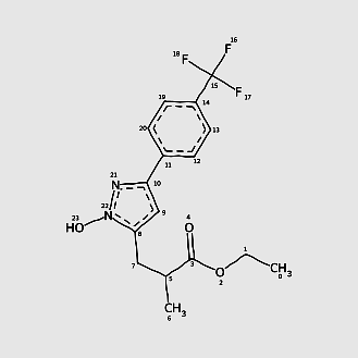 CCOC(=O)C(C)Cc1cc(-c2ccc(C(F)(F)F)cc2)nn1O